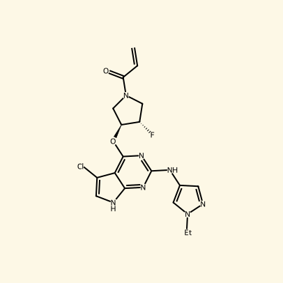 C=CC(=O)N1C[C@H](Oc2nc(Nc3cnn(CC)c3)nc3[nH]cc(Cl)c23)[C@@H](F)C1